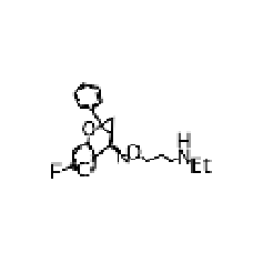 CCNCCCON=C1c2ccc(F)cc2OC2(c3ccccc3)CC12